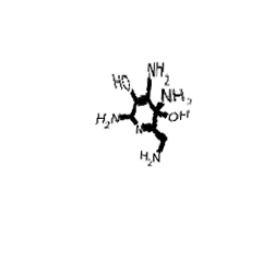 NCC1=NC(N)C(O)=C(N)C1(N)O